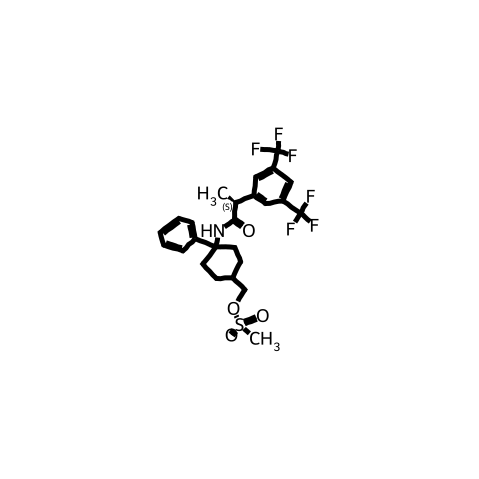 C[C@H](C(=O)NC1(c2ccccc2)CCC(COS(C)(=O)=O)CC1)c1cc(C(F)(F)F)cc(C(F)(F)F)c1